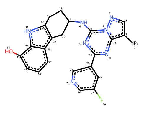 CC(C)c1cnn2c(NC3CCc4[nH]c5c(O)cccc5c4C3)nc(-c3cncc(F)c3)nc12